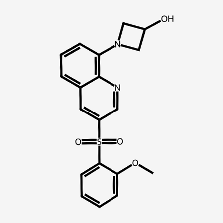 COc1ccccc1S(=O)(=O)c1cnc2c(N3CC(O)C3)cccc2c1